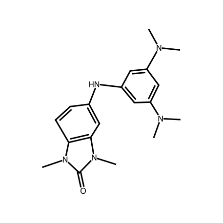 CN(C)c1cc(Nc2ccc3c(c2)n(C)c(=O)n3C)cc(N(C)C)c1